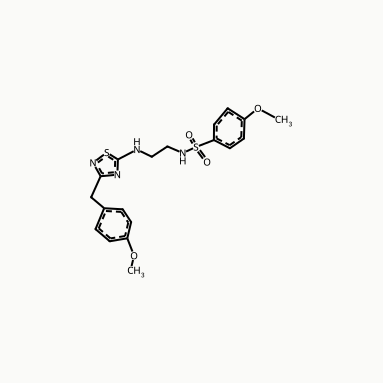 COc1ccc(Cc2nsc(NCCNS(=O)(=O)c3ccc(OC)cc3)n2)cc1